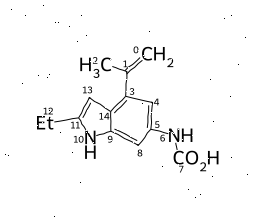 C=C(C)c1cc(NC(=O)O)cc2[nH]c(CC)cc12